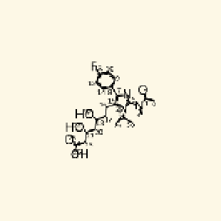 CC(=O)N(C)c1nc(-c2ccc(F)cc2)c(CCC(O)CC(O)CC(=O)O)n1C(C)C